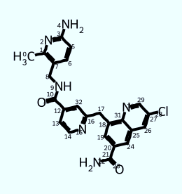 Cc1nc(N)ccc1CNC(=O)c1ccnc(Cc2cc(C(N)=O)cc3cc(Cl)cnc23)c1